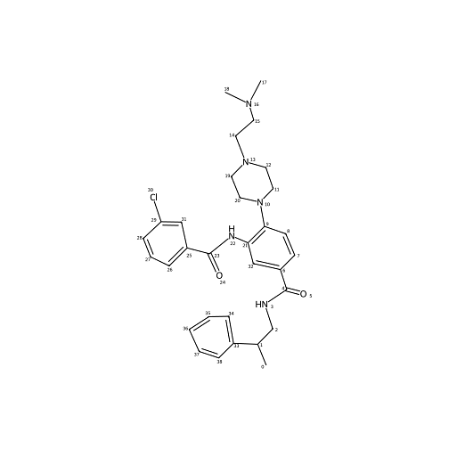 CC(CNC(=O)c1ccc(N2CCN(CCN(C)C)CC2)c(NC(=O)c2cccc(Cl)c2)c1)c1ccccc1